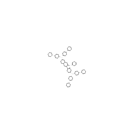 c1ccc(-c2ccc(N(c3ccc(-c4ccccc4)cc3)c3ccc4cc5c6ccc(N(c7ccc(-c8ccccc8)cc7)c7ccc(-c8ccccc8)cc7)cc6n(-c6ccccc6)c5cc4c3)cc2)cc1